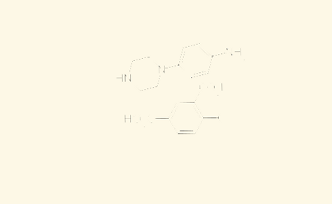 Cc1ccc(C(=O)O)cc1C(=O)O.Nc1ccc(N2CCNCC2)cc1